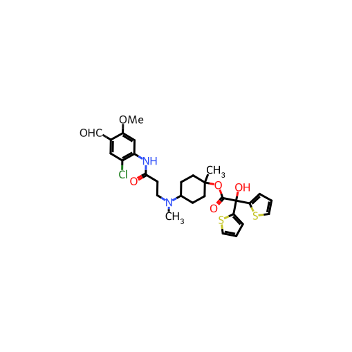 COc1cc(NC(=O)CCN(C)C2CCC(C)(OC(=O)C(O)(c3cccs3)c3cccs3)CC2)c(Cl)cc1C=O